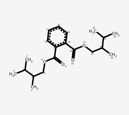 CC(C)C(C)COC(=O)c1ccccc1C(=O)OCC(C)C(C)C